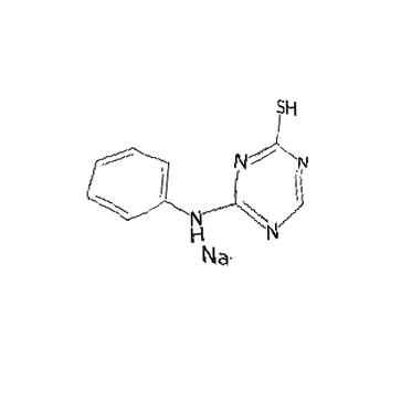 Sc1ncnc(Nc2ccccc2)n1.[Na]